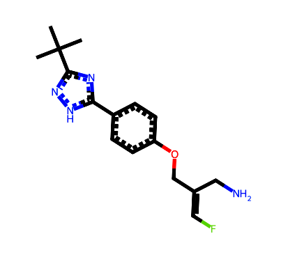 CC(C)(C)c1n[nH]c(-c2ccc(OC/C(=C/F)CN)cc2)n1